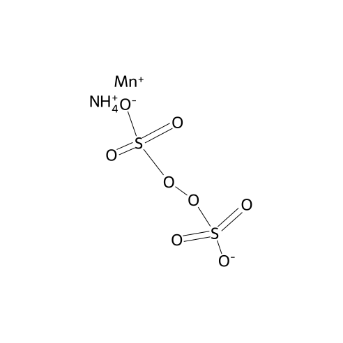 O=S(=O)([O-])OOS(=O)(=O)[O-].[Mn+].[NH4+]